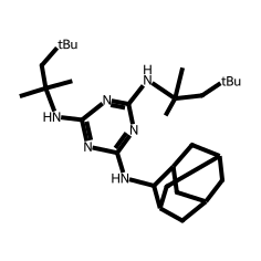 CC(C)(C)CC(C)(C)Nc1nc(NC2C3CC4CC(C3)CC2C4)nc(NC(C)(C)CC(C)(C)C)n1